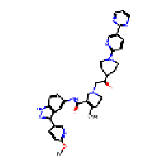 CSC1=C(C(=O)Nc2ccc3[nH]nc(-c4ccc(OC(C)C)nc4)c3c2)CN(CC(=O)C2CCN(c3ccc(-c4ncccn4)cn3)CC2)CC1